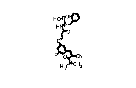 CN(C)C(=O)C(C#N)=Cc1cc(F)cc(OCCC(=O)N[C@@H](Cc2ccccc2)B(O)O)c1